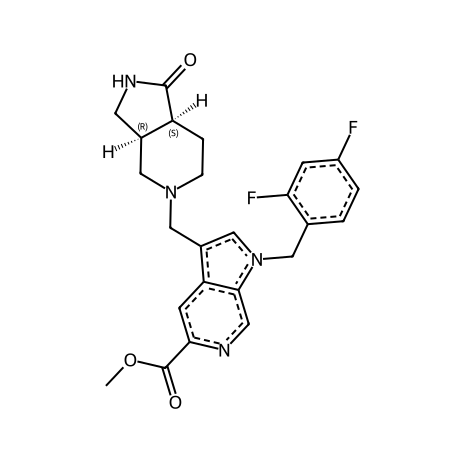 COC(=O)c1cc2c(CN3CC[C@@H]4C(=O)NC[C@@H]4C3)cn(Cc3ccc(F)cc3F)c2cn1